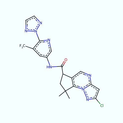 CC1(C)CC(C(=O)Nc2cnc(-n3nccn3)c(C(F)(F)F)c2)c2cnc3cc(Cl)nn3c21